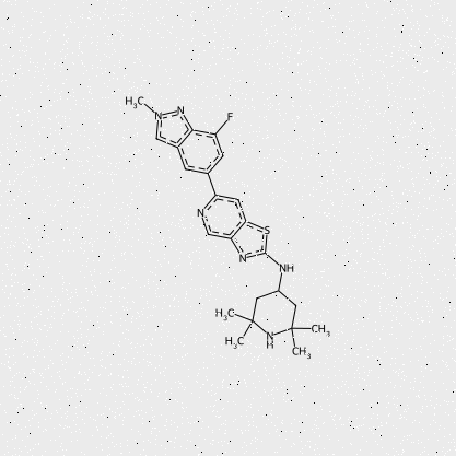 Cn1cc2cc(-c3cc4sc(NC5CC(C)(C)NC(C)(C)C5)nc4cn3)cc(F)c2n1